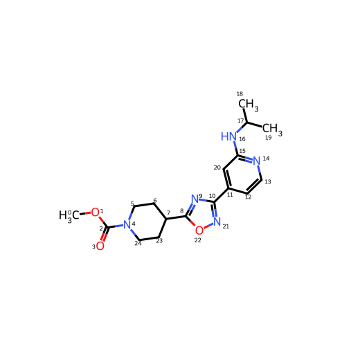 COC(=O)N1CCC(c2nc(-c3ccnc(NC(C)C)c3)no2)CC1